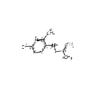 C=C(C)CNc1ccc(Cl)nc1C